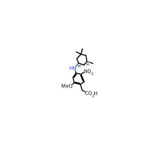 COc1cc(N[C@@H]2C[C@H](C)CC(C)(C)C2)c([N+](=O)[O-])cc1CC(=O)O